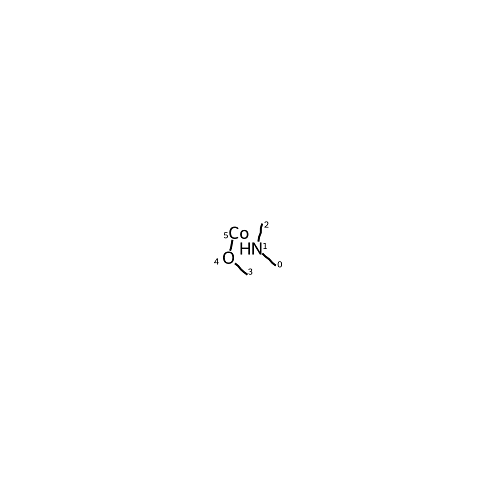 CNC.C[O][Co]